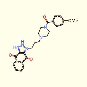 COc1ccc(C(=O)N2CCN(CCCn3[nH][nH]c4c(=O)c5ccccc5c(=O)c3=4)CC2)cc1